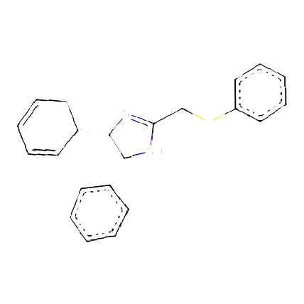 C1=CCC([C@@H]2N=C(CSc3ccccc3)N[C@@H]2c2ccccc2)C=C1